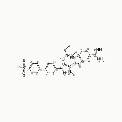 CCN(CC)Oc1c(-c2ccc(-c3ccc(S(C)(=O)=O)cc3)cc2)nn(C)c1-c1nc2cc(C(=N)N)ccc2[nH]1